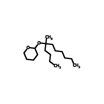 CCCCCCC(C)(CCCC)OC1CCCCO1